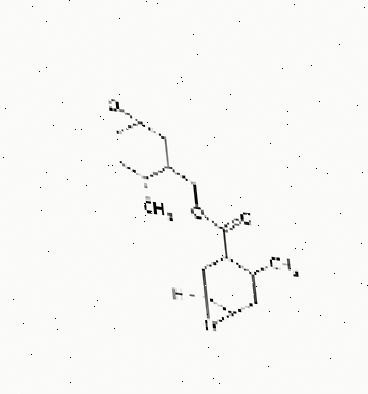 CC1CC2O[C@H]2CC1C(=O)OCC1CC2OC2C[C@H]1C